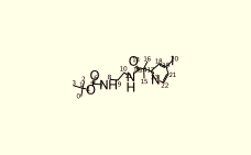 CC(C)(C)OC(=O)NCCCNC(=O)C(C)(C)c1cc(I)ccn1